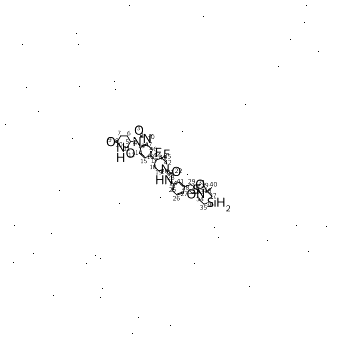 Cn1c(=O)n(C2CCC(=O)NC2=O)c2ccc([C@@H]3CCN(C(=O)Nc4cccc(CS(=O)(=O)N5CC[SiH2]CC5(C)C)c4)CC3(F)F)cc21